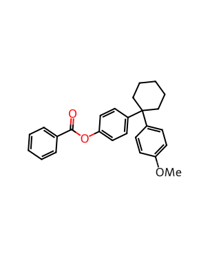 COc1ccc(C2(c3ccc(OC(=O)c4ccccc4)cc3)CCCCC2)cc1